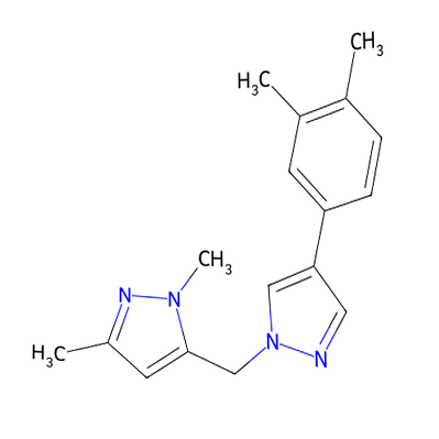 Cc1cc(Cn2cc(-c3ccc(C)c(C)c3)cn2)n(C)n1